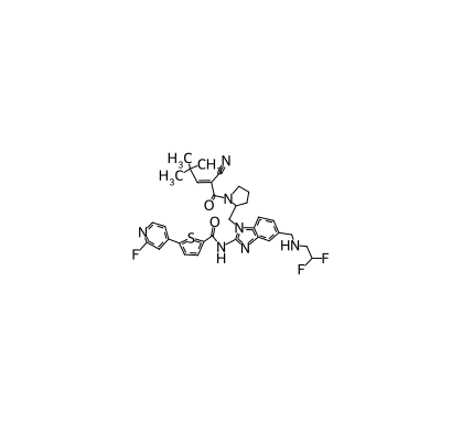 CC(C)(C)C=C(C#N)C(=O)N1CCCC1Cn1c(NC(=O)c2ccc(-c3ccnc(F)c3)s2)nc2cc(CNCC(F)F)ccc21